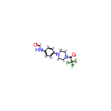 O=CNc1ccc(N2CCN(C(=O)C(F)(F)F)CC2)cc1